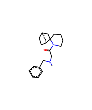 CN(CC(=O)N1CCCCC12CC1CCC2CC1)Cc1ccccc1